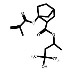 C=C(C)C(=O)OC12CCC(CC1C(=O)OC(C)CC(O)(C(F)(F)F)C(F)(F)F)C2